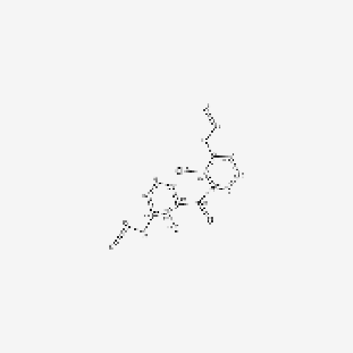 C=CCc1cccc(C(=O)c2cccc(CC=C)c2Cl)c1Cl